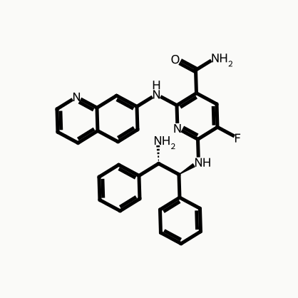 NC(=O)c1cc(F)c(N[C@@H](c2ccccc2)[C@@H](N)c2ccccc2)nc1Nc1ccc2cccnc2c1